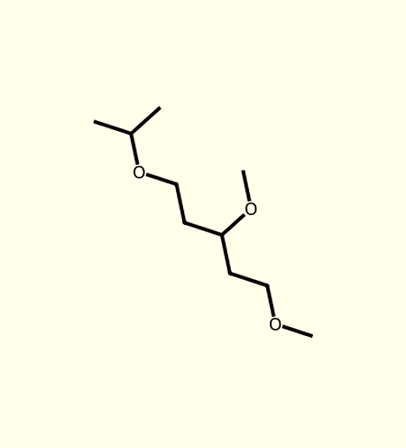 COCCC(CCOC(C)C)OC